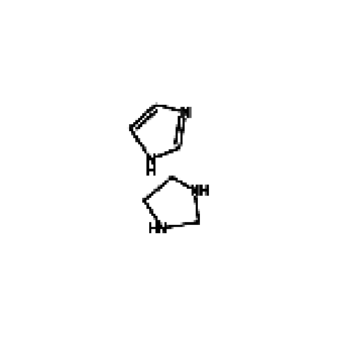 C1CNCN1.c1c[nH]cn1